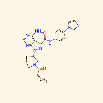 C=CC(=O)N1CCCC(n2nc(C(=O)Nc3ccc(-n4ccnc4)cc3)c3c(N)ncnc32)C1